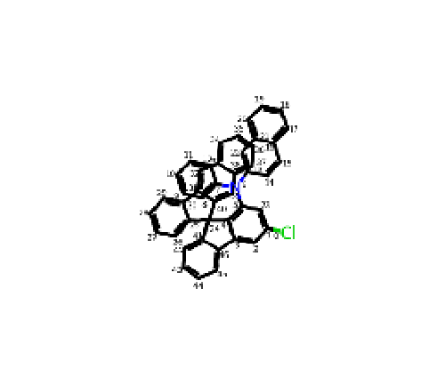 Clc1cc2c(c(N(c3ccccc3)c3ccc4ccccc4c3)c1)C1(c3ccccc3-c3cc4ccccc4cc31)c1ccccc1-2